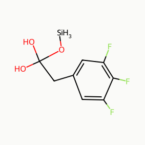 OC(O)(Cc1cc(F)c(F)c(F)c1)O[SiH3]